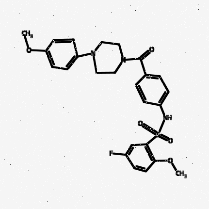 COc1ccc(N2CCN(C(=O)c3ccc(NS(=O)(=O)c4cc(F)ccc4OC)cc3)CC2)cc1